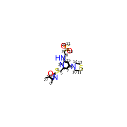 Cc1nc(SCc2cc(N3CCSCC3)cc(NCCS(C)(=O)=O)n2)oc1C